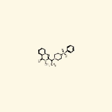 CC(c1nc2ccccc2c(=O)n1C)N1CCN(S(=O)(=O)c2ccccc2)CC1